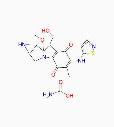 COC12C(CO)C3=C(C(=O)C(C)=C(Nc4cc(C)ns4)C3=O)N1CC1NC12.NC(=O)O